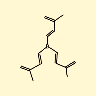 C=C(C)C=CB(C=CC(=C)C)C=CC(=C)C